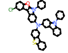 Clc1ccc2oc3c(c2c1)c1ccc(N(c2ccc4sc5ccccc5c4c2)c2ccc4c(c2)c2ccccc2n4-c2ccccc2)cc1n3-c1ccccc1